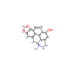 COc1c(O)cc2c3c1-c1cc4c(cc1CC3N(C)CC2)OCO4